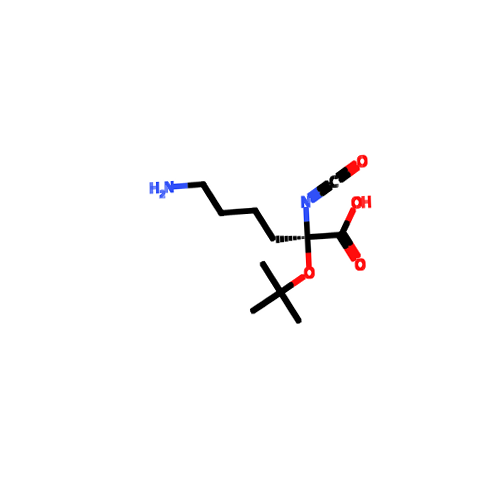 CC(C)(C)O[C@@](CCCCN)(N=C=O)C(=O)O